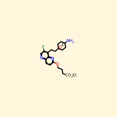 CCOC(=O)CCCOc1ccc2ncc(F)c(CCC34CCC(N)(CC3)CO4)c2n1